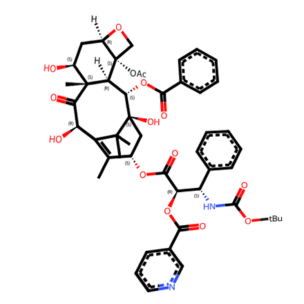 CC(=O)O[C@@]12CO[C@@H]1C[C@H](O)[C@@]1(C)C(=O)[C@H](O)C3=C(C)[C@@H](OC(=O)[C@H](OC(=O)c4cccnc4)[C@@H](NC(=O)OC(C)(C)C)c4ccccc4)C[C@@](O)([C@@H](OC(=O)c4ccccc4)[C@H]21)C3(C)C